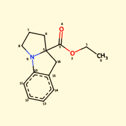 CCOC(=O)C12CCCN1c1ccccc1C2